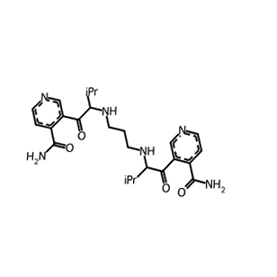 CC(C)C(NCCCNC(C(=O)c1cnccc1C(N)=O)C(C)C)C(=O)c1cnccc1C(N)=O